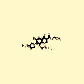 CCOC(=O)c1cn2c3c(c(N4CCC(N)C4)c(F)cc3c1=O)OCN2C